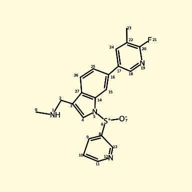 CNCc1cn([S+]([O-])c2cccnc2)c2cc(-c3cnc(F)c(C)c3)ccc12